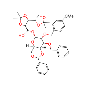 COc1ccc(CO[C@@H]2[C@H](OC(O)[C@H]3OC(C)(C)O[C@H]3[C@@H]3COC(C)(C)O3)O[C@@H]3COC(c4ccccc4)O[C@H]3[C@@H]2OCc2ccccc2)cc1